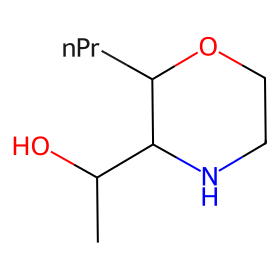 CCCC1OCCNC1C(C)O